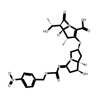 C[C@@H](O)[C@H]1C(=O)N2C(C(=O)O)=C(S[C@H]3C[C@H]4[C@@H](O)C/C(=N\C(=O)OCc5ccc([N+](=O)[O-])cc5)N4C3)[C@H](C)[C@H]12